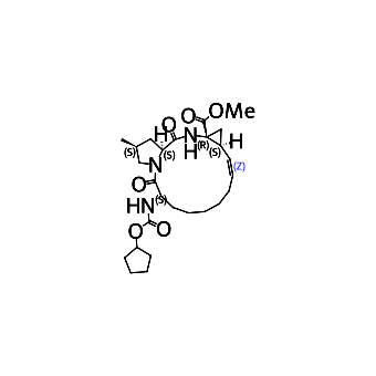 COC(=O)[C@@]12C[C@H]1/C=C\CCCCC[C@H](NC(=O)OC1CCCC1)C(=O)N1C[C@@H](C)C[C@H]1C(=O)N2